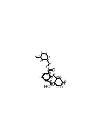 CC1CCCC(COC(=O)c2cccc(C(=O)O)c2CC2CCCC(C)C2)C1